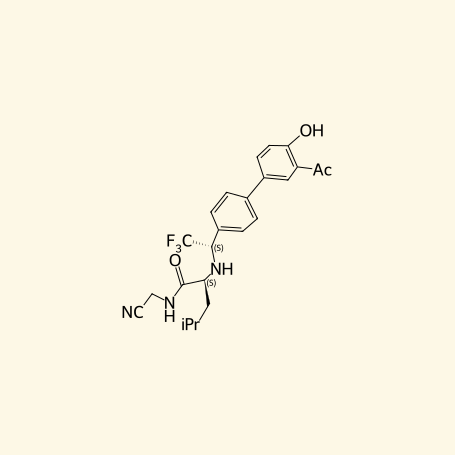 CC(=O)c1cc(-c2ccc([C@H](N[C@@H](CC(C)C)C(=O)NCC#N)C(F)(F)F)cc2)ccc1O